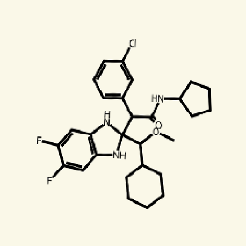 COC(C1CCCCC1)C1(C(C(=O)NC2CCCC2)c2cccc(Cl)c2)Nc2cc(F)c(F)cc2N1